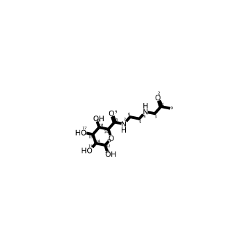 CC(=O)CNCCNC(=O)C1OC(O)C(O)C(O)C1O